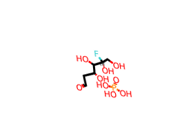 O=CCC(O)C(O)[C@@](O)(F)CO.O=P(O)(O)O